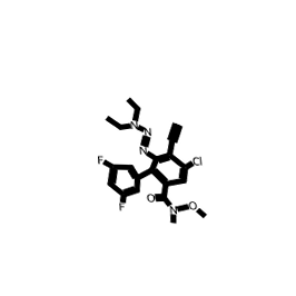 C#Cc1c(Cl)cc(C(=O)N(C)OC)c(-c2cc(F)cc(F)c2)c1/N=N/N(CC)CC